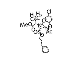 C=C(C)C(C(=O)OC)N1C(=O)C(N(Oc2ccc(Cl)cc2)C(C)=O)C1S(=O)OCCCc1ccccc1